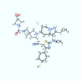 CCc1nn2cc(F)c(N3CCC4(CN(C(=O)N5CC(O)C5)C4)C3)cc2c1N(C)c1nc(-c2ccc(F)cc2)c(C#N)s1